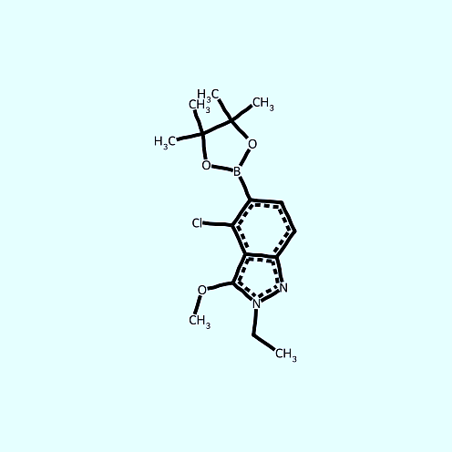 CCn1nc2ccc(B3OC(C)(C)C(C)(C)O3)c(Cl)c2c1OC